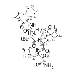 CC(C)(C)C(NC(=O)N[C@H](C(=O)C1CC1)C1CCCCC1)C(=O)N1CC2(C[C@H]1C(=O)NC(CC1CCC1)C(=O)C(N)=O)C(C)(C)C21CCC1